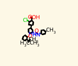 Cc1ccc(NC(=O)Nc2cc(-c3ccc(C(=O)O)c(Cl)c3)ccc2Oc2ccccc2C(C)(C)C)cc1